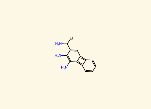 CCC(N)c1cc2c(c(N)c1N)=c1ccccc1=2